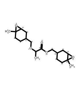 CC(OCC1CCC2(C)OC2C1)C(=O)OCC1CCC2(C)OC2C1